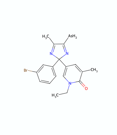 CCn1cc(C2(c3cccc(Br)c3)N=C(C)C([AsH2])=N2)cc(C)c1=O